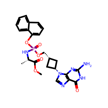 COC(=O)[C@H](C)NP(=O)(OC[C@H]1C[C@@H](n2cnc3c(=O)[nH]c(N)nc32)C1)Oc1cccc2ccccc12